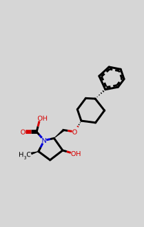 C[C@@H]1CC(O)[C@H](CO[C@H]2CC[C@@H](c3ccccc3)CC2)N1C(=O)O